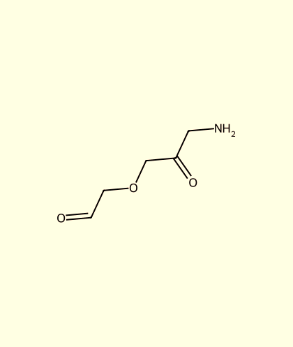 NCC(=O)COCC=O